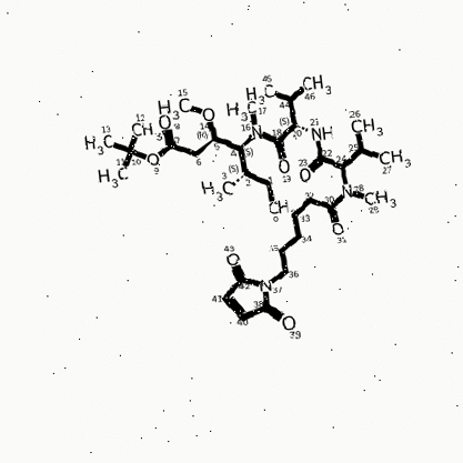 CC[C@H](C)[C@@H]([C@@H](CC(=O)OC(C)(C)C)OC)N(C)C(=O)[C@@H](NC(=O)C(C(C)C)N(C)C(=O)CCCCCN1C(=O)C=CC1=O)C(C)C